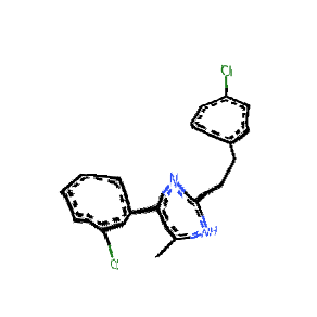 Cc1[nH]c(Cc2ccc(Cl)cc2)nc1-c1ccccc1Cl